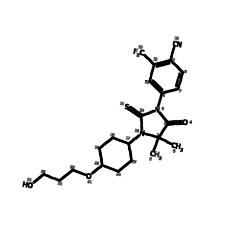 CC1(C)C(=O)N(c2ccc(C#N)c(C(F)(F)F)c2)C(=S)N1C1CCC(OCCCO)CC1